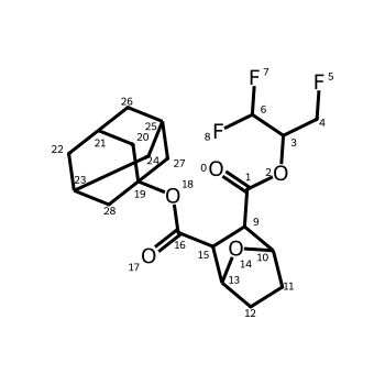 O=C(OC(CF)C(F)F)C1C2CCC(O2)C1C(=O)OC12CC3CC(CC(C3)C1)C2